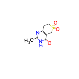 Cc1nc2c(c(=O)[nH]1)CS(=O)(=O)CC2